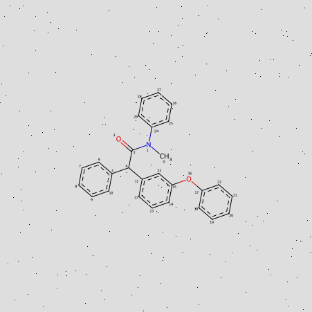 CN(C(=O)C(c1ccccc1)c1cccc(Oc2ccccc2)c1)c1ccccc1